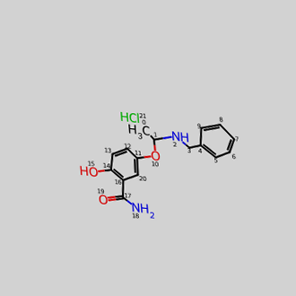 CC(NCc1ccccc1)Oc1ccc(O)c(C(N)=O)c1.Cl